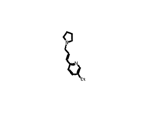 CCc1ccc(/C=C/CN2CCCC2)nc1